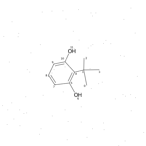 CC(C)(C)c1c(O)c[c]cc1O